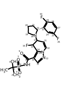 CC(C)(C)S(=O)(=O)NC(=O)c1cnn2c1C(F)C(N1CCC[C@@H]1c1cc(F)ccc1F)C=C2